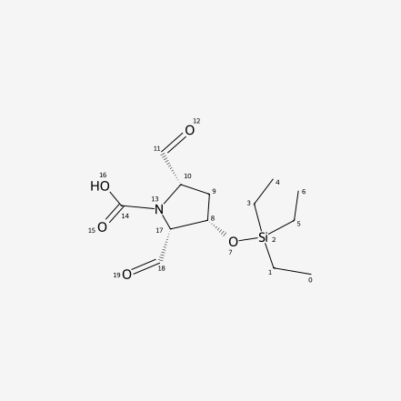 CC[Si](CC)(CC)O[C@H]1C[C@@H](C=O)N(C(=O)O)[C@H]1C=O